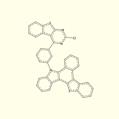 Clc1nc(-c2cccc(-n3c4ccccc4c4c5sc6ccccc6c5c5ccccc5c43)c2)c2c(n1)sc1ccccc12